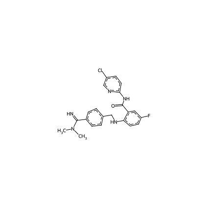 CN(C)C(=N)c1ccc(CNc2ccc(F)cc2C(=O)Nc2ccc(Cl)cn2)cc1